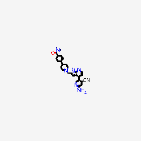 CN(C)C(=O)c1ccc(C2CCN(Cc3cc4c(-c5cnc(N)cc5C#N)ccnc4n3C)CC2)cc1